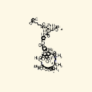 CO[C@H]1/C=C/O[C@@]2(C)Oc3c(C)c(O)c4c(c3C2=O)C2=NC3(CCN(C(=O)OCc5ccc(NC(=O)[C@H](CCCNC(N)=O)NC(=O)C(NC(=O)CCCCCN6C(=O)C=CC6=O)C(C)C)cc5)CC3)NC2=C(NC(=O)/C(C)=C\C=C\[C@H](C)C[C@@H](C)[C@@H](O)[C@@H](C)[C@H](OC(C)=O)[C@@H]1C)C4=O